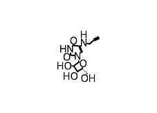 C#CCNc1cn([C@@H]2O[C@H](CO)[C@@H](O)[C@H]2O)c(=O)[nH]c1=O